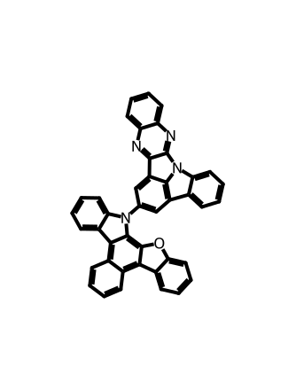 c1ccc2nc3c(nc2c1)c1cc(-n2c4ccccc4c4c5ccccc5c5c6ccccc6oc5c42)cc2c4ccccc4n3c21